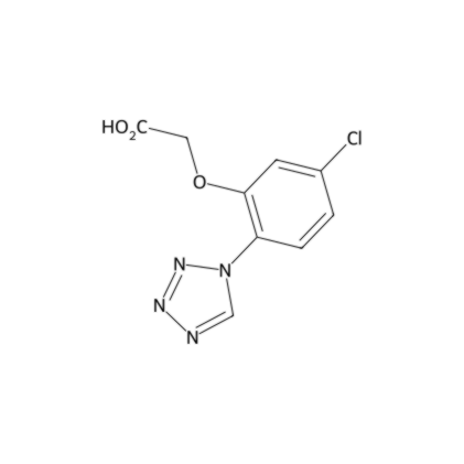 O=C(O)COc1cc(Cl)ccc1-n1cnnn1